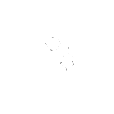 Clc1ccc([Si](Cl)(c2ccc(Cl)cc2)C(Cl)(Cl)Cl)cc1